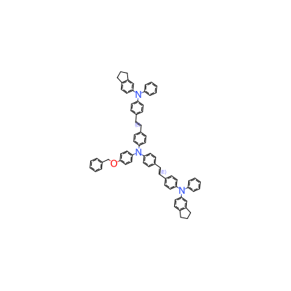 C(=C\c1ccc(N(c2ccccc2)c2ccc3c(c2)CCC3)cc1)/c1ccc(N(c2ccc(/C=C/c3ccc(N(c4ccccc4)c4ccc5c(c4)CCC5)cc3)cc2)c2ccc(OCc3ccccc3)cc2)cc1